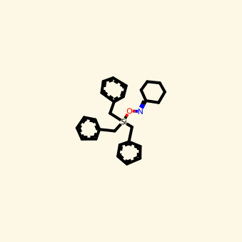 c1ccc(C[Si](Cc2ccccc2)(Cc2ccccc2)ON=C2CCCCC2)cc1